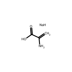 C=C(N)C(=O)O.[NaH]